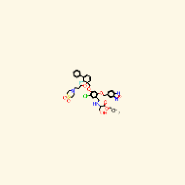 CCOC(=O)C(CO)NCc1cc(Cl)c(OCC2(OCCCN3CCS(=O)(=O)CC3)C=CC=C(c3ccccc3)C2F)cc1OCc1ccc2nonc2c1